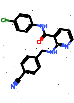 N#Cc1ccc(CNc2ncccc2C(=O)Nc2ccc(Cl)cc2)cc1